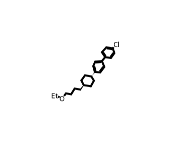 CCOCCCC[C@H]1CC[C@H](c2ccc(-c3ccc(Cl)cc3)cc2)CC1